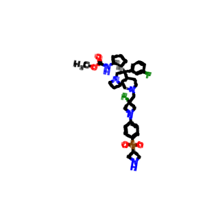 COC(=O)N[C@H]1CCC[C@@H]1C(CN1CCC1)(c1cccc(F)c1)C1CCN(CC2(F)CN(c3ccc(S(=O)(=O)C4CNC4)cc3)C2)CC1